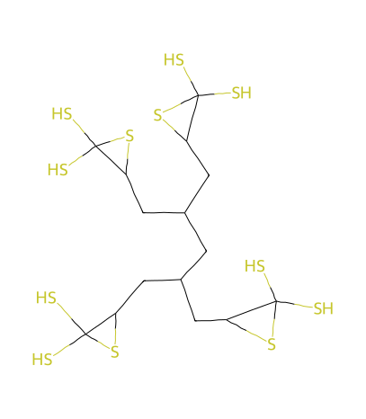 SC1(S)SC1CC(CC(CC1SC1(S)S)CC1SC1(S)S)CC1SC1(S)S